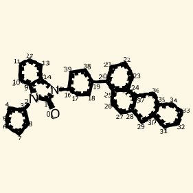 O=c1n(-c2ccccc2)c2ccccc2n1-c1ccc(-c2cccc3c2ccc2cc4ccccc4cc23)cc1